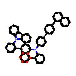 c1ccc(-c2ccccc2N(c2ccc(-c3ccc(-c4cccc5ccccc45)cc3)cc2)c2ccc(-c3ccccc3-n3c4ccccc4c4ccccc43)c3ccccc23)cc1